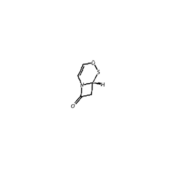 O=C1C[C@H]2SOC=CN12